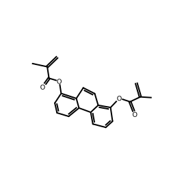 C=C(C)C(=O)Oc1cccc2c1ccc1c(OC(=O)C(=C)C)cccc12